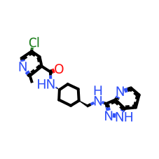 Cc1ncc(Cl)cc1C(=O)N[C@H]1CC[C@H](CNc2n[nH]c3cccnc23)CC1